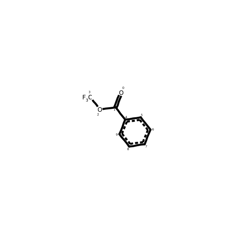 O=C(OC(F)(F)F)c1c[c]ccc1